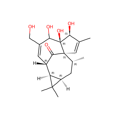 CC1=C[C@]23C(=O)[C@@H](C=C(CO)C(O)[C@]2(O)[C@H]1O)[C@H]1[C@@H](C[C@H]3C)C1(C)C